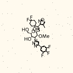 CO[C@@H]1[C@@H](n2cc(-c3cc(F)c(F)c(F)c3)nn2)[C@@H](O)[C@@H](CO)O[C@H]1SC(c1nocc1C)C1(O)CCC(F)(F)CC1